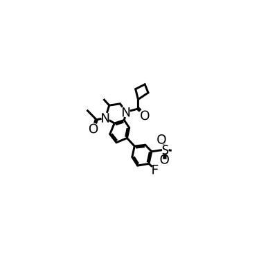 CC(=O)N1c2ccc(-c3ccc(F)c(S(C)(=O)=O)c3)cc2N(C(=O)C2CCC2)CC1C